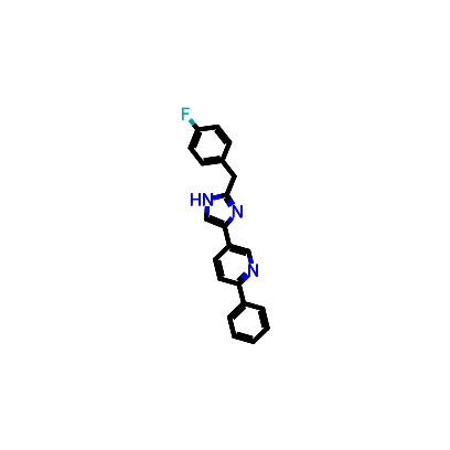 Fc1ccc(Cc2nc(-c3ccc(-c4ccccc4)nc3)c[nH]2)cc1